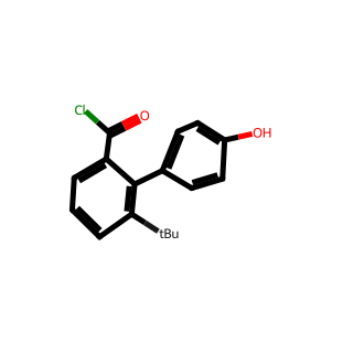 CC(C)(C)c1cccc(C(=O)Cl)c1-c1ccc(O)cc1